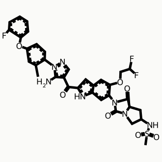 Cc1cc(Oc2ccccc2F)ccc1-n1ncc(C(=O)c2cc3cc(OCC(F)F)c(N4C(=O)C5CC(NS(C)(=O)=O)CN5C4=O)cc3[nH]2)c1N